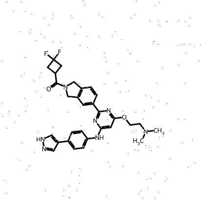 CN(C)CCOc1cc(Nc2ccc(-c3cn[nH]c3)cc2)nc(-c2ccc3c(c2)CN(C(=O)C2CC(F)(F)C2)C3)n1